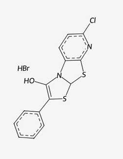 Br.OC1=C(c2ccccc2)SC2Sc3nc(Cl)ccc3N12